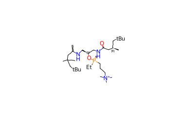 C=C(CC(C)(C)CC(C)(C)C)NC[C@@H](CNC(=O)C[C@H](C)CC(C)(C)C)OP(=C)(CC)CCC[N+](C)(C)C